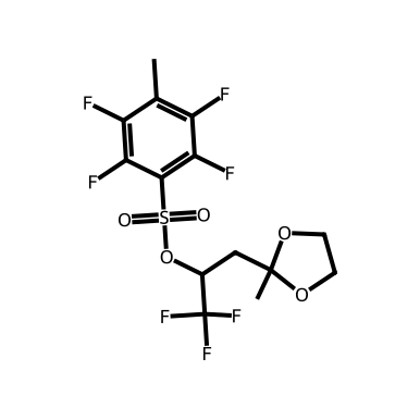 Cc1c(F)c(F)c(S(=O)(=O)OC(CC2(C)OCCO2)C(F)(F)F)c(F)c1F